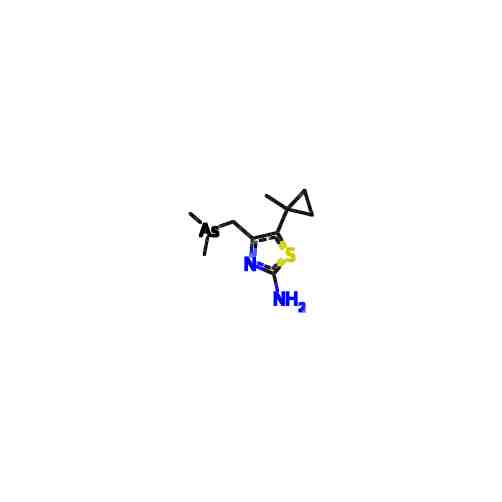 C[As](C)Cc1nc(N)sc1C1(C)CC1